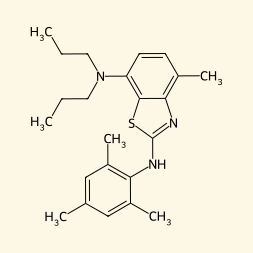 CCCN(CCC)c1ccc(C)c2nc(Nc3c(C)cc(C)cc3C)sc12